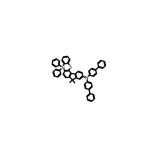 CC1(C)c2cc(N(c3ccc(-c4ccccc4)cc3)c3ccc(-c4ccccc4)cc3)ccc2-c2c1ccc1c2Sc2ccccc2[Si]1(c1ccccc1)c1ccccc1